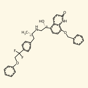 C[C@@H](Cc1ccc(C(F)(F)COc2ccccc2)cc1)NC[C@H](O)c1ccc(OCc2ccccc2)c2[nH]c(=O)ccc12